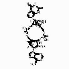 Cc1nc2c(ncn2[C@@H]2O[C@@H]3COP(=O)(S)O[C@H]4[C@@H](O)[C@H](n5cnc6c(N)ncnc65)[C@H]5CC54COP(=O)(O)O[C@@H]2[C@@H]3CO)c(=O)[nH]1